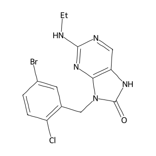 CCNc1ncc2[nH]c(=O)n(Cc3cc(Br)ccc3Cl)c2n1